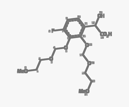 COCCOCOc1c(F)ccc(C(O)C(=O)O)c1OCOCCOC